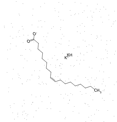 CCCCCCCC/C=C\CCCCCCCC(=O)[O-].[K+].[KH]